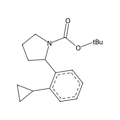 CC(C)(C)OC(=O)N1CCCC1c1ccccc1C1CC1